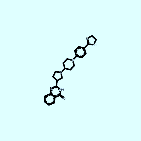 O=c1[nH]c(C2CCN(C3CCN(c4ccc(C5=NCCN5)cc4)CC3)C2)nc2ccccc12